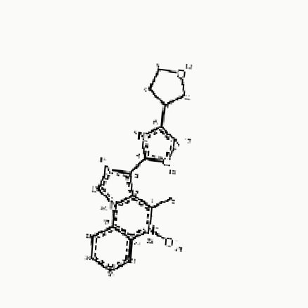 Cc1c2c(-c3nc(C4CCOC4)no3)ncn2c2ccccc2[n+]1[O-]